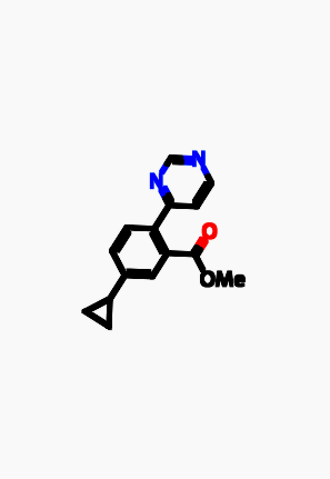 COC(=O)c1cc(C2CC2)ccc1-c1ccncn1